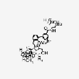 COc1c(CN2O[C@@H](CO)[C@@H]([C@H](C)O)[C@H]2C(=O)NC2C[C@H]3C[C@@H]([C@@H]2C)C3(C)C)cccc1-c1cc(Br)cc(C(=O)N[C@H](CN(C)C)CC(C)(C)C)c1